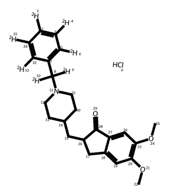 Cl.[2H]c1c([2H])c([2H])c(C([2H])([2H])N2CCC(CC3Cc4cc(OC)c(OC)cc4C3=O)CC2)c([2H])c1[2H]